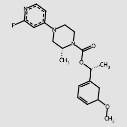 COC1C=CC=C([C@@H](C)OC(=O)N2CCN(c3ccnc(F)c3)C[C@H]2C)C1